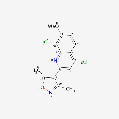 COc1ccc2c(Cl)cc(-c3c(C)noc3C)nc2c1Br